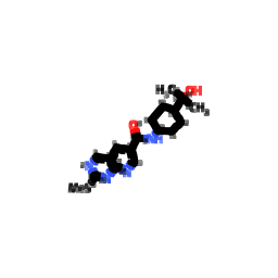 CSc1ncc2cc(C(=O)NC3CCC(C(C)(C)O)CC3)cnc2n1